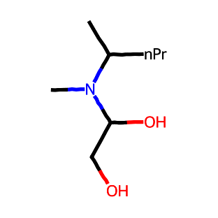 CCCC(C)N(C)C(O)CO